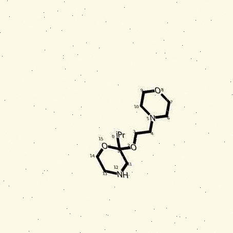 CC(C)C1(OCCN2CCOCC2)CNCCO1